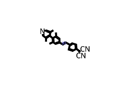 Cc1cncc(C)c1-c1c(C)cc(/C=C/c2ccc(C(C#N)C#N)cc2)cc1C